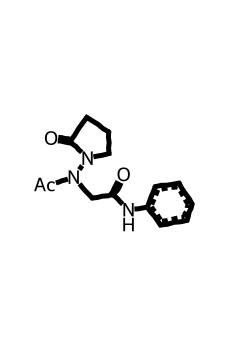 CC(=O)N(CC(=O)Nc1ccccc1)N1CCCC1=O